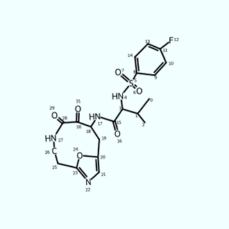 CC(C)C(NS(=O)(=O)c1ccc(F)cc1)C(=O)NC1Cc2cnc(o2)CCNC(=O)C1=O